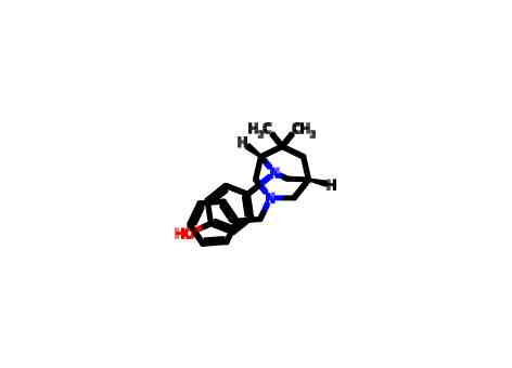 CC1(C)C[C@@H]2CN(Cc3ccccc3)C[C@H]1N(c1ccc(O)cc1)C2